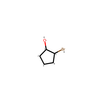 [O]C1CCCC1Br